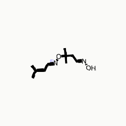 CC(C)=C/C=N/OC(C)(C)CC=NO